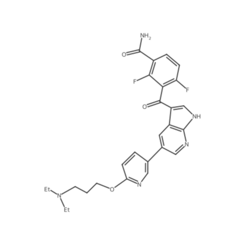 CCN(CC)CCCOc1ccc(-c2cnc3[nH]cc(C(=O)c4c(F)ccc(C(N)=O)c4F)c3c2)cn1